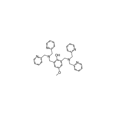 COc1cc(CN(Cc2ccccn2)Cc2ccccn2)c(O)c(CN(Cc2ccccn2)Cc2ccccn2)c1